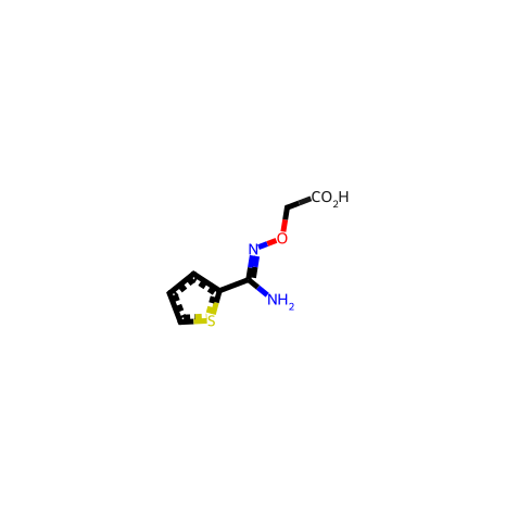 NC(=NOCC(=O)O)c1cccs1